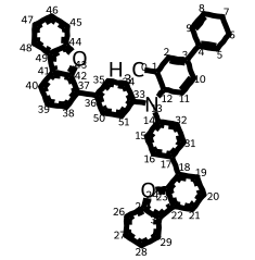 CC1C=C(C2=CCCC=C2)C=CC1N(c1ccc(-c2cccc3c2oc2ccccc23)cc1)c1ccc(-c2cccc3c2oc2ccccc23)cc1